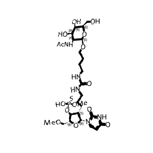 COC[C@H]1O[C@@H](n2ccc(=O)[nH]c2=O)[C@@H](CCCNC(=O)NCCCCO[C@@H]2O[C@H](CO)[C@H](O)[C@H](O)[C@H]2NC(C)=O)C1OP(O)(=S)OC